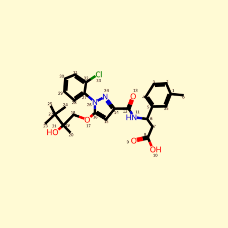 Cc1cccc(C(CC(=O)O)NC(=O)c2cc(OCC(C)(O)C(C)(C)C)n(-c3ccccc3Cl)n2)c1